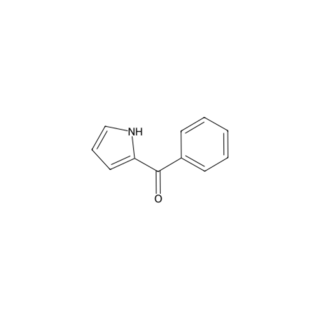 O=C(c1ccccc1)c1ccc[nH]1